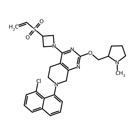 C=CS(=O)(=O)C1CN(c2nc(OCC3CCCN3C)nc3c2CCN(c2cccc4cccc(Cl)c24)C3)C1